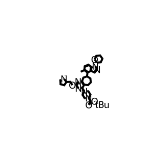 Cc1ccc2c(cnn2C2CCCCO2)c1C1CCCc2c(nc(OCC3CCCN3C)nc2N2CCN(C(=O)OC(C)(C)C)CC2)C1